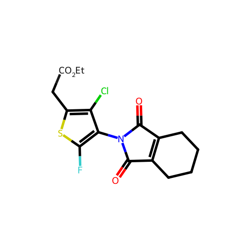 CCOC(=O)Cc1sc(F)c(N2C(=O)C3=C(CCCC3)C2=O)c1Cl